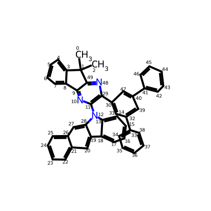 CC1(C)c2ccccc2-c2nc(-n3c4ccccc4c4cc5ccccc5cc43)c(-c3cc(-c4ccccc4)cc(-c4ccccc4)c3)nc21